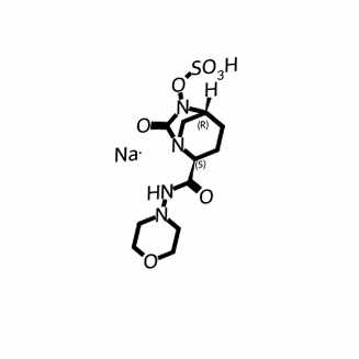 O=C(NN1CCOCC1)[C@@H]1CC[C@@H]2CN1C(=O)N2OS(=O)(=O)O.[Na]